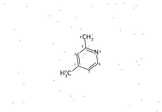 Cc1[c]c(C)ncc1